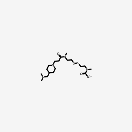 CCCC(=O)N(C)CCSSCCN(C)C(=O)CCN1CCC(CN(C)C)CC1